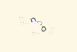 COc1ccc(C2CCC(c3cc(OC)c(OC)c(OC)c3)S2)nc1OC